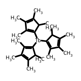 CC1=C(C)C(C)[C]([Tb]([C]2=C(C)C(C)=C(C)C2C)[C]2=C(C)C(C)=C(C)C2C)=C1C